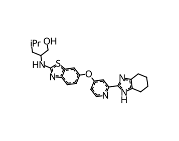 CC(C)CC(CO)Nc1nc2ccc(Oc3ccnc(-c4nc5c([nH]4)CCCC5)c3)cc2s1